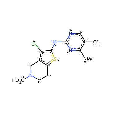 CNc1nc(Nc2sc3c(c2Cl)CN(C(=O)O)CC3)ncc1C(F)(F)F